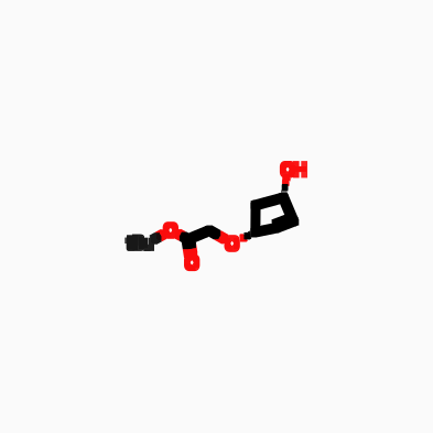 CC(C)(C)OC(=O)CO[C@H]1C=C[C@@H](O)C1